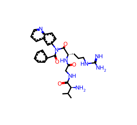 CC(C)[C@H](N)C(=O)NCC(=O)N[C@@H](CCCNC(=N)N)C(=O)N(C(=O)c1ccccc1)c1ccc2ncccc2c1